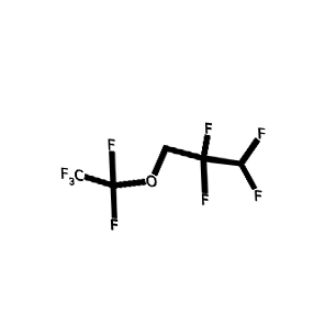 FC(F)C(F)(F)COC(F)(F)C(F)(F)F